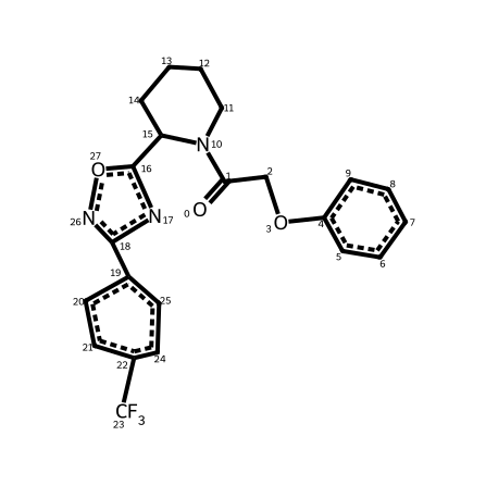 O=C(COc1ccccc1)N1CCCCC1c1nc(-c2ccc(C(F)(F)F)cc2)no1